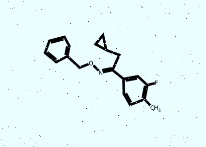 Cc1ccc(C(CC2CC2)=NOCc2ccccc2)cc1F